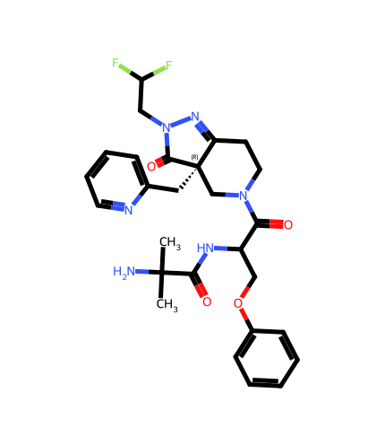 CC(C)(N)C(=O)NC(COc1ccccc1)C(=O)N1CCC2=NN(CC(F)F)C(=O)[C@]2(Cc2ccccn2)C1